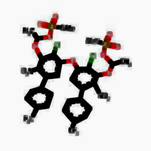 CNS(=O)(=O)OC(C)Oc1c(Cl)c(Oc2cc(-c3ccc(C(F)(F)F)cc3)c([N+](=O)[O-])c(OC(C)OS(=O)(=O)NC)c2Cl)cc(-c2ccc(C(F)(F)F)cc2)c1[N+](=O)[O-]